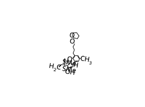 C=CC(SC)(SC)C1C(O)=C[C@@H]2c3cc(C)cc(CCCCOC4CCCCO4)c3O[C@H]12